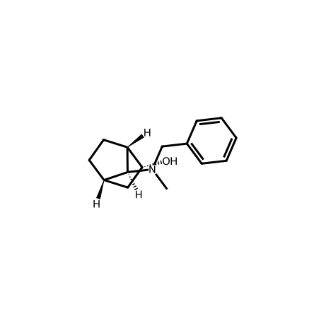 CN(Cc1ccccc1)[C@H]1[C@H]2CC[C@@H]1[C@H](O)C2